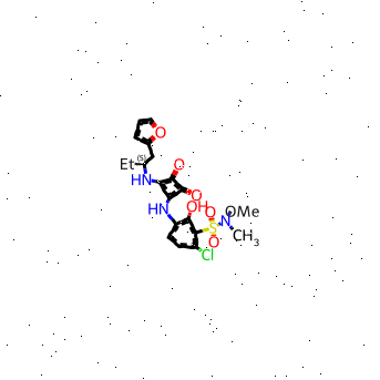 CC[C@@H](Cc1ccco1)Nc1c(Nc2ccc(Cl)c(S(=O)(=O)N(C)OC)c2O)c(=O)c1=O